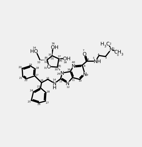 CN(C)CCNC(=O)c1ncc2nc(NCC(c3ccccc3)c3ccccc3)n([C@@H]3O[C@H](CO)[C@@H](O)[C@H]3O)c2n1